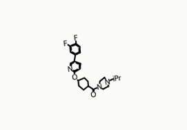 CC(C)N1CCN(C(=O)C2CCC(Oc3ccc(-c4ccc(F)c(F)c4)cn3)CC2)CC1